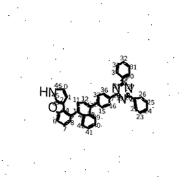 C1=Cc2c(oc3cccc(-c4ccc(-c5ccc(-c6nc(-c7ccccc7)nc(-c7ccccc7)n6)cc5)c5ccccc45)c23)NC1